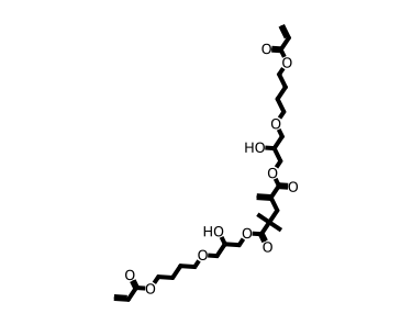 C=CC(=O)OCCCCOCC(O)COC(=O)C(=C)CC(C)(C)C(=O)OCC(O)COCCCCOC(=O)C=C